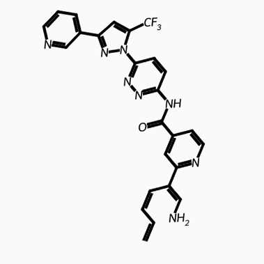 C=C/C=C\C(=C/N)c1cc(C(=O)Nc2ccc(-n3nc(-c4cccnc4)cc3C(F)(F)F)nn2)ccn1